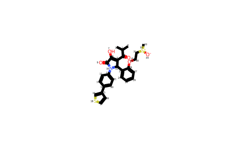 CC(C)C(=O)C1=C(O)C(=O)N(c2ccc(-c3ccsc3)cc2)C1c1ccccc1OCC[S+](C)[O-]